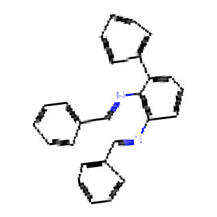 C(=Nc1cccc(-c2ccccc2)c1N=Cc1ccccc1)c1ccccc1